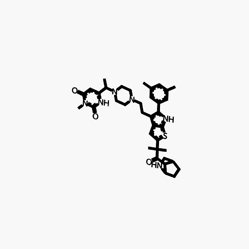 Cc1cc(C)cc(-c2[nH]c3sc(C(C)(C)C(=O)C4C5CCC4NC5)cc3c2CCN2CCN(C(C)c3cc(=O)n(C)c(=O)[nH]3)CC2)c1